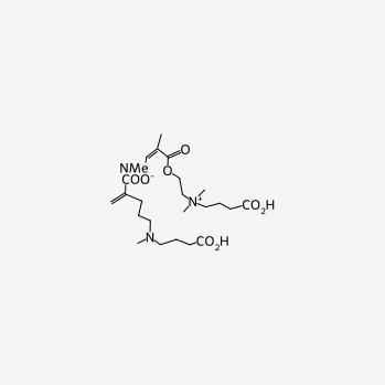 C=C(CCCN(C)CCCC(=O)O)C(=O)[O-].CNC=C(C)C(=O)OCC[N+](C)(C)CCCC(=O)O